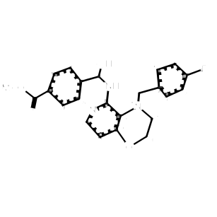 COC(=O)c1ccc(C(C)Nc2nccc3c2N(Cc2ccc(F)cc2)CCO3)cc1